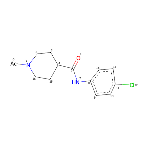 CC(=O)N1CCC(C(=O)Nc2ccc(Cl)cc2)CC1